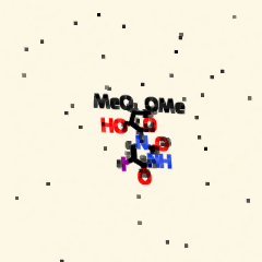 COC1C(O)[C@H](n2cc(I)c(=O)[nH]c2=O)O[C@@H]1OC